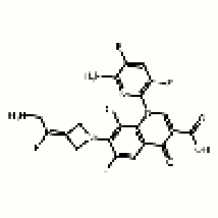 NCC(F)=C1CN(c2c(F)cc3c(=O)c(C(=O)O)cn(-c4nc(N)c(F)cc4F)c3c2Cl)C1